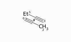 [C]#CC.[C]#CCC